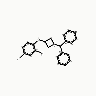 Fc1ccc(OC2CN(C(c3ccccc3)c3ccccc3)C2)c(Cl)c1